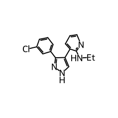 CCNc1ncccc1-c1c[nH]nc1-c1cccc(Cl)c1